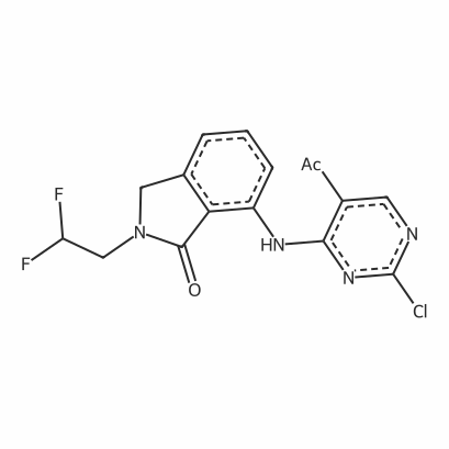 CC(=O)c1cnc(Cl)nc1Nc1cccc2c1C(=O)N(CC(F)F)C2